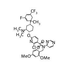 COc1ccc(CN(c2ccncn2)S(=O)(=O)c2ccc(O[C@H]3CC[C@H](C4(C)C=C(F)C=C(C(F)(F)F)C4)C[C@@H]3N(C)C)nc2Cl)c(OC)c1